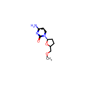 COCC1CC[C@H](n2ccc(N)nc2=O)O1